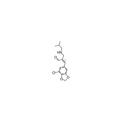 CC(C)CNC/C(C=O)=C/c1cc(Cl)c2c(c1)OCO2